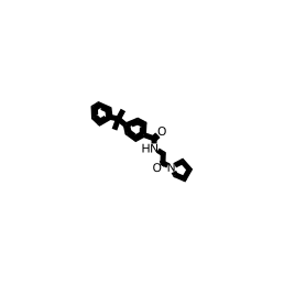 CC(C)(c1ccccc1)c1ccc(C(=O)NCC(=O)N2CCCC2)cc1